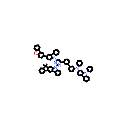 CC1(C)c2ccccc2-c2cc3c4ccccc4n(-c4nc(-c5cccc(-c6cccc(N(c7ccccc7)c7ccc8c9ccccc9n(-c9ccccc9)c8c7)c6)c5)cc(-n5c6ccccc6c6cc(-c7ccc8oc9ccccc9c8c7)ccc65)n4)c3cc21